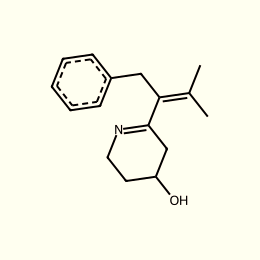 CC(C)=C(Cc1ccccc1)C1=NCCC(O)C1